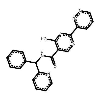 O=C(NC(c1ccccc1)c1ccccn1)c1cnc(-c2cccnn2)nc1O